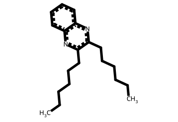 CCCCCCc1nc2ccccc2nc1CCCCCC